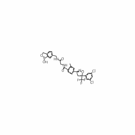 Cc1cc(C2=NOC(c3cc(Cl)cc(Cl)c3)(C(F)(F)F)C2)ccc1C(=O)NCC(=O)NCc1ccc2c(c1)B(O)OC2